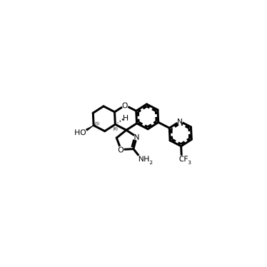 NC1=NC2(CO1)c1cc(-c3cc(C(F)(F)F)ccn3)ccc1OC1CC[C@H](O)C[C@@H]12